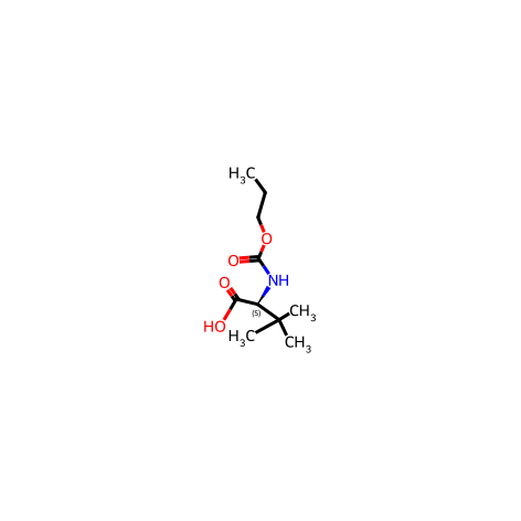 CCCOC(=O)N[C@H](C(=O)O)C(C)(C)C